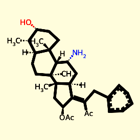 CC(=O)O[C@H]1C[C@@]2(C)[C@@H](C[C@@H](N)[C@H]3[C@@]4(C)CC[C@@H](O)[C@@H](C)[C@@H]4CC[C@@]32C)/C1=C(\Cc1ccccc1)C(C)=O